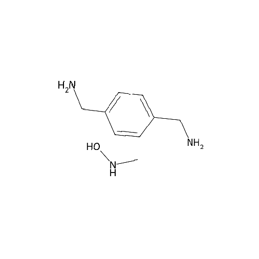 CNO.NCc1ccc(CN)cc1